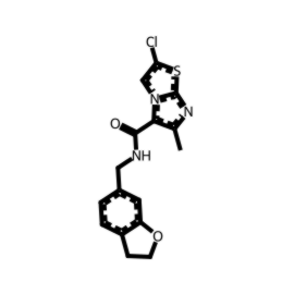 Cc1nc2sc(Cl)cn2c1C(=O)NCc1ccc2c(c1)OCC2